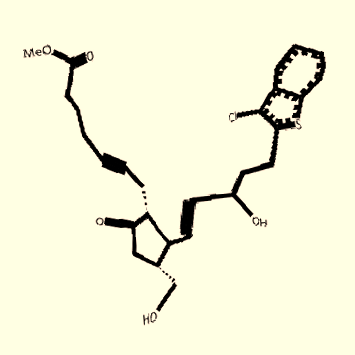 COC(=O)CCCC#CC[C@H]1C(=O)C[C@@H](CO)C1/C=C/C(O)CCc1sc2ccccc2c1Cl